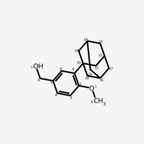 COc1ccc(CO)cc1C12CC3CC(CC(C3)C1)C2